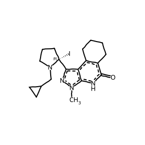 Cn1nc([C@]2(I)CCCN2CC2CC2)c2c3c(c(=O)[nH]c21)CCCC3